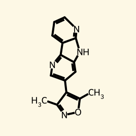 Cc1noc(C)c1-c1cnc2c(c1)[nH]c1ncccc12